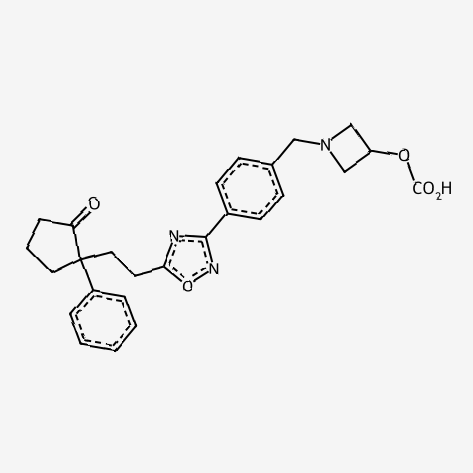 O=C(O)OC1CN(Cc2ccc(-c3noc(CCC4(c5ccccc5)CCCC4=O)n3)cc2)C1